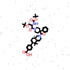 C[C@@H](OC(C)(C)C)[C@H](NC(=O)OC(C)(C)C)C(=O)N1CCC(C(=O)N2CC=C3C(C)(C)C(c4ccc(C(=O)O)cc4)=CC[C@]3(C)C2)(c2ccccc2)CC1